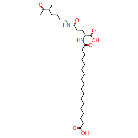 CC(=O)[C@@H](C)CCCCNC(=O)CC[C@H](NC(=O)CCCCCCCCCCCCCCCCC(=O)O)C(=O)O